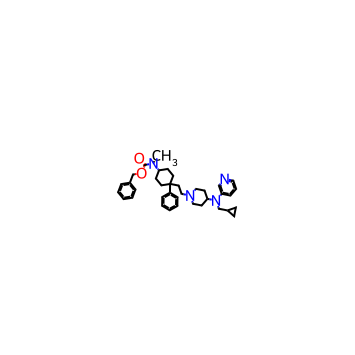 CN(C(=O)OCc1ccccc1)C1CCC(CCN2CCC(N(CC3CC3)c3cccnc3)CC2)(c2ccccc2)CC1